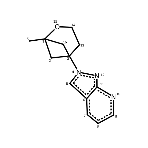 CC12CC(n3cc4cccnc4n3)(CCO1)C2